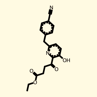 CCOC(=O)CCC(=O)c1nc(Cc2ccc(C#N)cc2)ccc1O